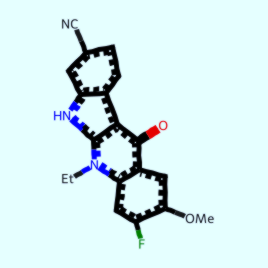 CCn1c2cc(F)c(OC)cc2c(=O)c2c3ccc(C#N)cc3[nH]c21